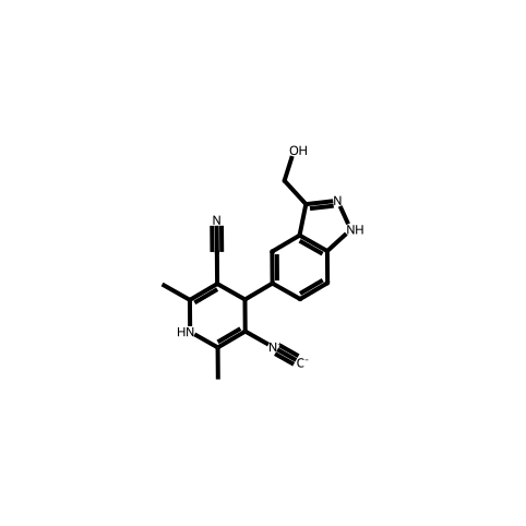 [C-]#[N+]C1=C(C)NC(C)=C(C#N)C1c1ccc2[nH]nc(CO)c2c1